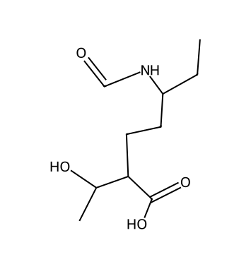 CCC(CCC(C(=O)O)C(C)O)NC=O